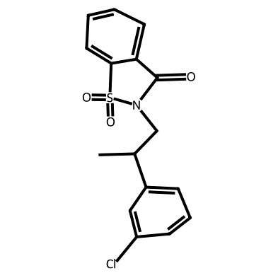 CC(CN1C(=O)c2ccccc2S1(=O)=O)c1cccc(Cl)c1